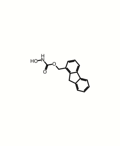 O=C(NO)OCc1cccc2c1Cc1ccccc1-2